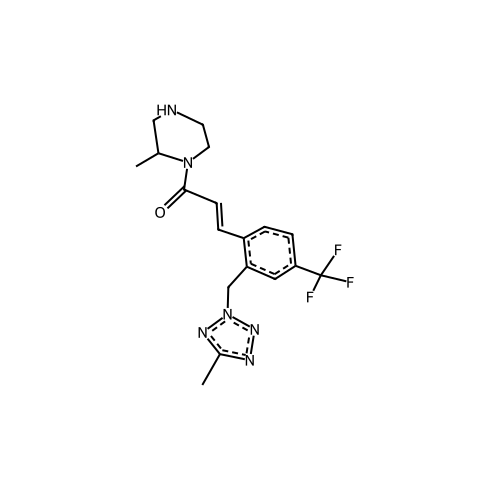 Cc1nnn(Cc2cc(C(F)(F)F)ccc2C=CC(=O)N2CCNCC2C)n1